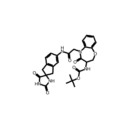 CC(C)(C)OC(=O)NC1COc2ccccc2N(CC(=O)Nc2ccc3c(c2)CC2(C3)NC(=O)NC2=O)C1=O